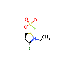 CC[n+]1sccc1Cl.O=S(=O)([O-])F